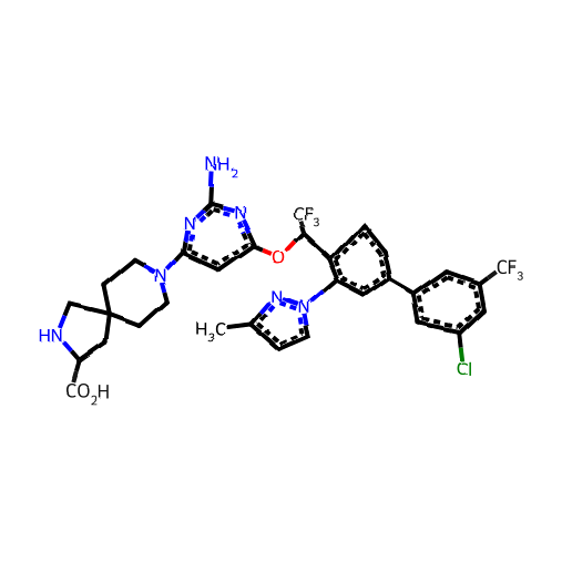 Cc1ccn(-c2cc(-c3cc(Cl)cc(C(F)(F)F)c3)ccc2C(Oc2cc(N3CCC4(CC3)CNC(C(=O)O)C4)nc(N)n2)C(F)(F)F)n1